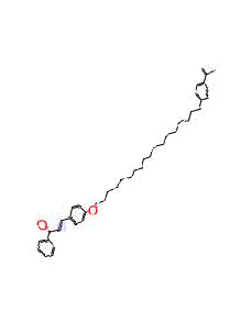 C=C(C)c1ccc(CCCCCCCCCCCCCCCCCCOc2ccc(/C=C/C(=O)c3ccccc3)cc2)cc1